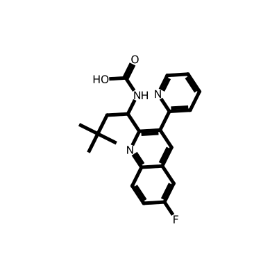 CC(C)(C)CC(NC(=O)O)c1nc2ccc(F)cc2cc1-c1ccccn1